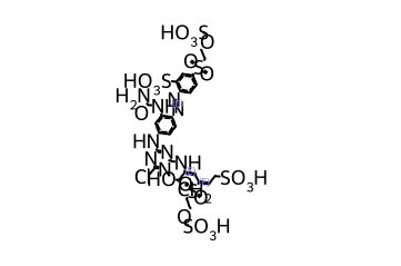 C=C(O)/C(=C\C(=C/CS(=O)(=O)O)S(=O)(=O)CCOS(=O)(=O)O)Nc1nc(Cl)nc(Nc2ccc(/N=N/c3ccc(S(=O)(=O)CCOS(=O)(=O)O)cc3S(=O)(=O)O)c(NC(N)=O)c2)n1